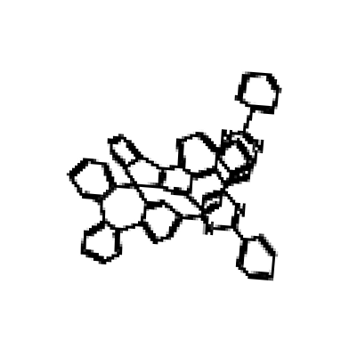 c1ccc(-c2ncc(-c3cc(-c4ccc5c(c4)C4(c6ccccc6-c6ccccc6-5)c5ccccc5-c5c4cc4ccc6cccc7ccc5c4c67)nc(-c4ccccc4)n3)cn2)cc1